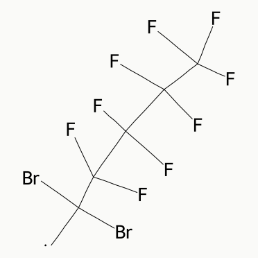 [CH2]C(Br)(Br)C(F)(F)C(F)(F)C(F)(F)C(F)(F)F